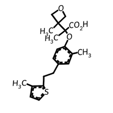 Cc1cc(CCc2sccc2C)ccc1OC(C)(C(=O)O)C1(C)COC1